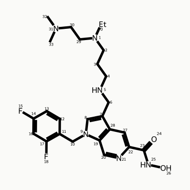 CCN(CCCNCc1cn(Cc2ccc(F)cc2F)c2cnc(C(=O)NO)cc12)CCN(C)C